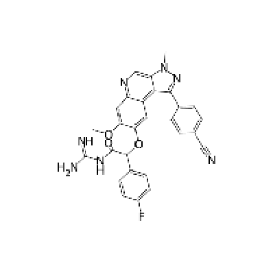 COc1cc2ncc3c(c(-c4ccc(C#N)cc4)nn3C)c2cc1OC(C(=O)NC(=N)N)c1ccc(F)cc1